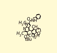 Cc1nc2c(cc(C(=O)NCc3ccccc3)n2C)c(-c2cc(F)c3c(c2C)CCCO3)c1[C@H](OC(C)(C)C)C(=O)O